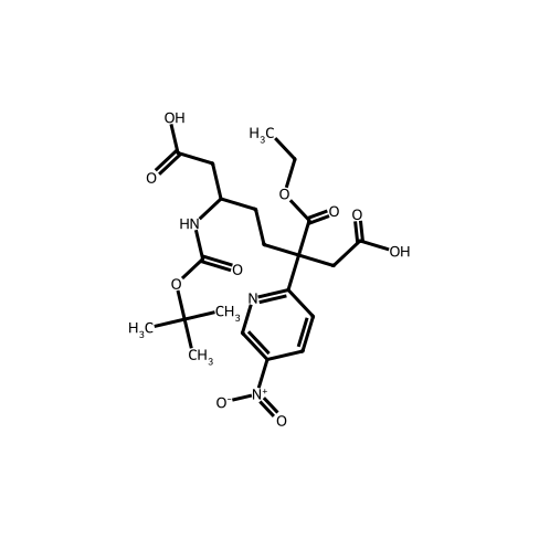 CCOC(=O)C(CCC(CC(=O)O)NC(=O)OC(C)(C)C)(CC(=O)O)c1ccc([N+](=O)[O-])cn1